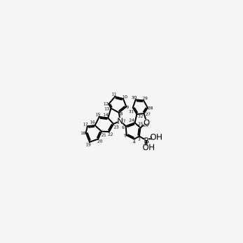 OB(O)c1ccc(-n2c3ccccc3c3cc4ccccc4cc32)c2c1oc1ccccc12